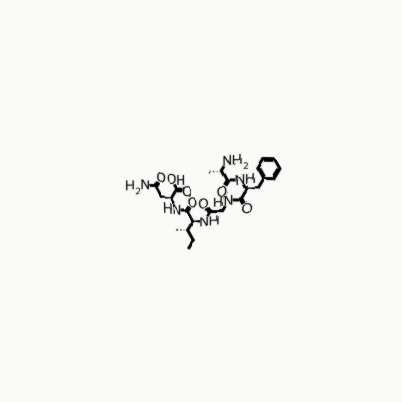 CC[C@H](C)[C@H](NC(=O)CNC(=O)[C@H](Cc1ccccc1)NC(=O)[C@H](C)N)C(=O)N[C@@H](CC(N)=O)C(=O)O